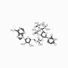 Nc1ncnc2c1ncn2[C@@H]1O[C@H](COP(=O)(O)O[C@@H]2[C@H](OP(=O)(O)O)[C@@H](C(OP(=O)(O)O)P(=O)(O)O)O[C@H]2n2ccc(=O)[nH]c2=O)[C@@H](O)[C@H]1O